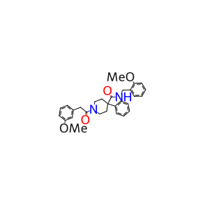 COc1cccc(CC(=O)N2CCC(C(=O)NCc3ccccc3OC)(c3ccccc3)CC2)c1